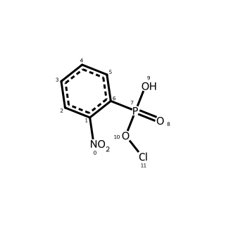 O=[N+]([O-])c1ccccc1P(=O)(O)OCl